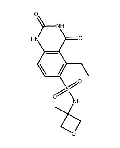 CCc1c(S(=O)(=O)NC2(C)COC2)ccc2[nH]c(=O)[nH]c(=O)c12